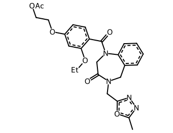 CCOc1cc(OCCOC(C)=O)ccc1C(=O)N1CC(=O)N(Cc2nnc(C)o2)Cc2ccccc21